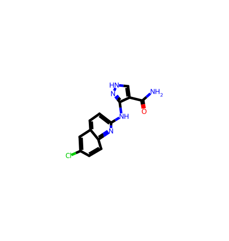 NC(=O)c1c[nH]nc1Nc1ccc2cc(Cl)ccc2n1